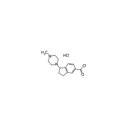 CN1CCN(C2CCc3cc(C(=O)Cl)ccc32)CC1.Cl